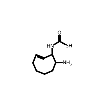 NC1CCCC/C=C/C1NC(=O)S